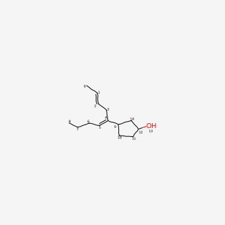 CC=CCC(=CCCC)C1CCC(O)C1